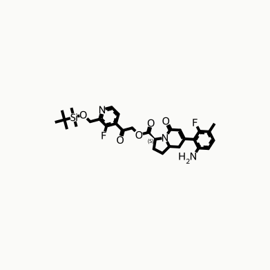 Cc1ccc(N)c(C2=CC(=O)N3C(CC[C@H]3C(=O)OCC(=O)c3ccnc(CO[Si](C)(C)C(C)(C)C)c3F)C2)c1F